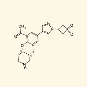 NC(=O)c1cc(-c2cnn(C3CS(=O)(=O)C3)c2)cnc1O[C@H]1CCNC[C@H]1F